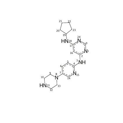 c1nc(Nc2ccc(N3CCNCC3)cn2)cc(NC2CCCC2)n1